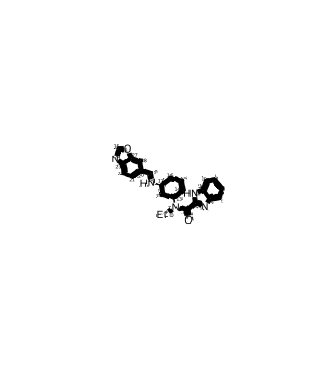 CCN(C(=O)c1nc2ccccc2[nH]1)[C@H]1CCC[C@@H](NCc2ccc3ncoc3c2)C1